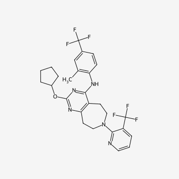 Cc1cc(C(F)(F)F)ccc1Nc1nc(OC2CCCC2)nc2c1CCN(c1ncccc1C(F)(F)F)CC2